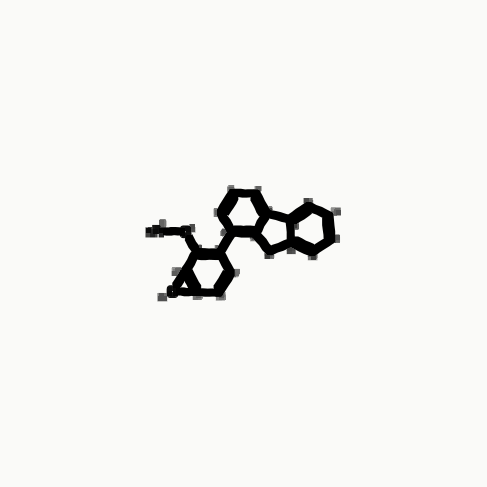 CCCOc1c(-c2cccc3c2Cc2ccccc2-3)ccc2c1O2